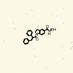 O=C(NO)c1ccc2c(c1)CCN2C(=O)C(=Cc1ccccc1)c1ccccc1